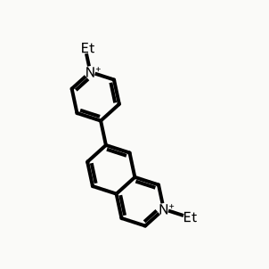 CC[n+]1ccc(-c2ccc3cc[n+](CC)cc3c2)cc1